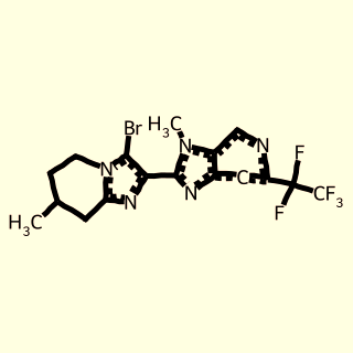 CC1CCn2c(nc(-c3nc4cc(C(F)(F)C(F)(F)F)ncc4n3C)c2Br)C1